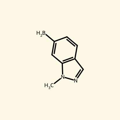 Bc1ccc2cnn(C)c2c1